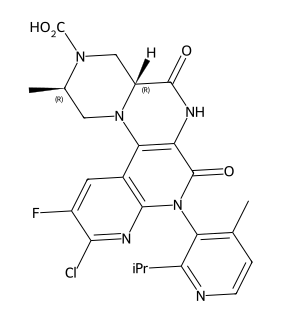 Cc1ccnc(C(C)C)c1-n1c(=O)c2c(c3cc(F)c(Cl)nc31)N1C[C@@H](C)N(C(=O)O)C[C@@H]1C(=O)N2